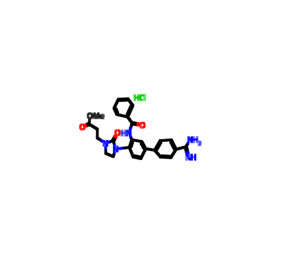 COC(=O)CCN1CCN(c2ccc(-c3ccc(C(=N)N)cc3)cc2NC(=O)c2ccccc2)C1=O.Cl